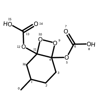 CC1CCC2(OC(=O)O)OOC2(OC(=O)O)C1